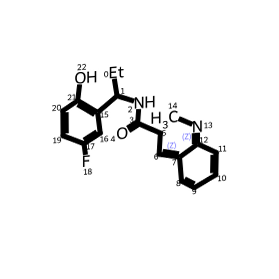 CCC(NC(=O)C/C=C1/C=CC=C/C1=N/C)c1cc(F)ccc1O